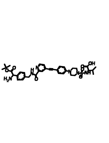 CC(C)[C@@H](NS(=O)(=O)N1CCN(c2ccc(C#Cc3ccnc(C(=O)NCc4ccc(C(N)C(=O)OC(C)(C)C)cc4)c3)cc2)CC1)C(=O)O